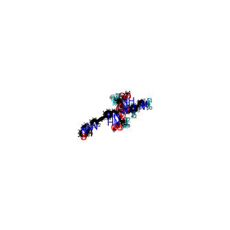 COC(=O)NC(C(=O)NC(Cc1ccc(C#Cc2ccc(N3CCN4CCOC[C@H]4C3)nc2)cc1)C(O)CN(Cc1c(F)cc(-c2ccn(C(F)F)n2)cc1F)NC(=O)C(NC(=O)OC)C(C)(C)C(F)(F)F)C(C)(C)C(F)(F)F